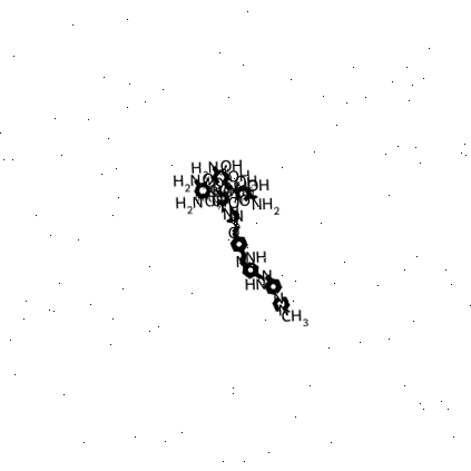 CN1CCN(c2ccc3nc(-c4ccc5nc(-c6ccc(OCc7cn(C[C@H]8O[C@@H](OC9[C@H](O[C@@H]%10OC(CN)[C@@H](O)[C@H](O)C%10N)C(N)C[C@@H](N)[C@H]9O)[C@@H](O)C8O[C@H]8OC(CN)[C@@H](O)C(O)C8N)nn7)cc6)[nH]c5c4)[nH]c3c2)CC1